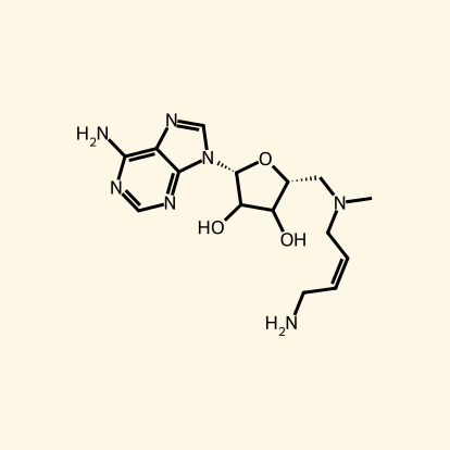 CN(C/C=C\CN)C[C@H]1O[C@@H](n2cnc3c(N)ncnc32)C(O)C1O